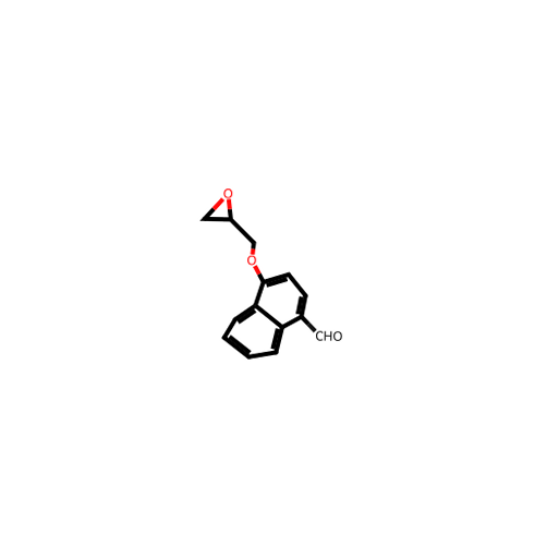 O=Cc1ccc(OCC2CO2)c2ccccc12